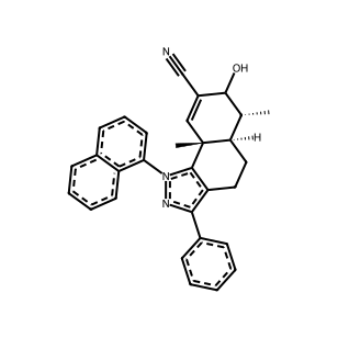 C[C@H]1C(O)C(C#N)=C[C@@]2(C)c3c(c(-c4ccccc4)nn3-c3cccc4ccccc34)CC[C@H]12